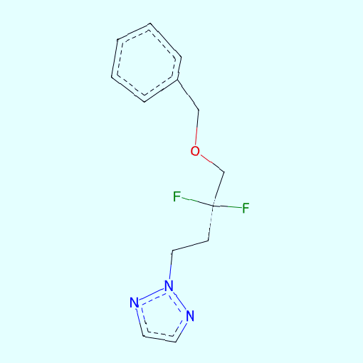 FC(F)(CCn1nccn1)COCc1ccccc1